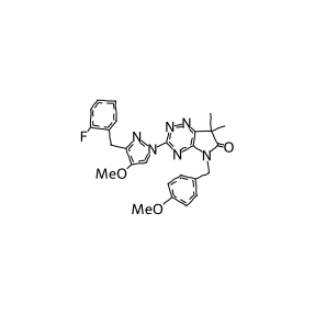 COc1ccc(CN2C(=O)C(C)(C)c3nnc(-n4cc(OC)c(Cc5ccccc5F)n4)nc32)cc1